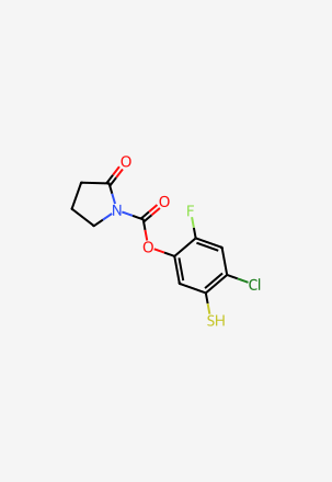 O=C1CCCN1C(=O)Oc1cc(S)c(Cl)cc1F